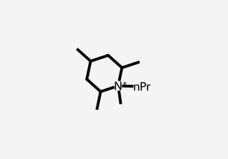 CCC[N+]1(C)C(C)CC(C)CC1C